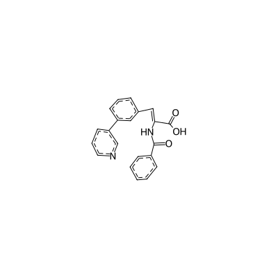 O=C(O)C(=Cc1cccc(-c2cccnc2)c1)NC(=O)c1ccccc1